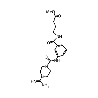 COC(=O)CCCNC(=O)c1cccc(NC(=O)N2CCN(C(=N)N)CC2)c1